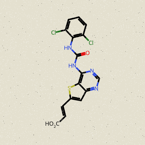 O=C(O)/C=C/c1cc2ncnc(NC(=O)Nc3c(Cl)cccc3Cl)c2s1